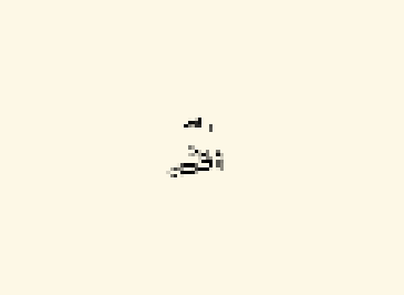 [Cu].[GeH4].[O]=[Hf].[SeH2]